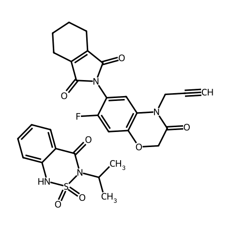 C#CCN1C(=O)COc2cc(F)c(N3C(=O)C4=C(CCCC4)C3=O)cc21.CC(C)N1C(=O)c2ccccc2NS1(=O)=O